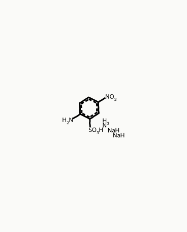 N.Nc1ccc([N+](=O)[O-])cc1S(=O)(=O)O.[NaH].[NaH]